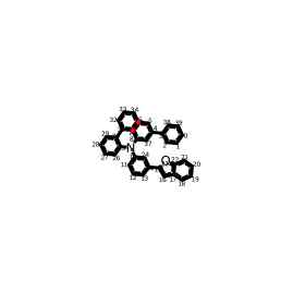 c1ccc(-c2cccc(N(c3cccc(-c4cc5ccccc5o4)c3)c3ccccc3-c3ccccc3)c2)cc1